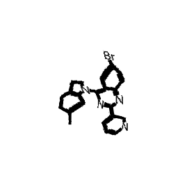 Cc1ccc2c(c1)N(c1nc(-c3cccnc3)nc3ccc(Br)cc13)CC2